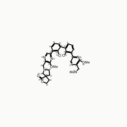 CNCc1ncc(-c2cccc(-c3cccc(-c4cnc(CN5CCC6(CCOC6=O)C5)c(OC)n4)c3Cl)c2Cl)nc1OC